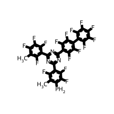 Cc1c(F)c(F)c(F)c(-c2nc(-c3c(F)c(C)c(P)c(F)c3F)nc(-c3c(F)c(F)c(-c4c(F)c(F)c(F)c(F)c4F)c(F)c3F)n2)c1F